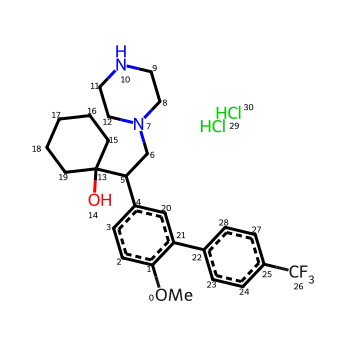 COc1ccc(C(CN2CCNCC2)C2(O)CCCCC2)cc1-c1ccc(C(F)(F)F)cc1.Cl.Cl